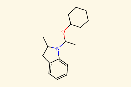 CC1Cc2ccccc2N1C(C)OC1CCCCC1